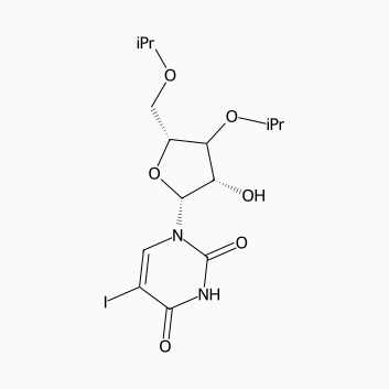 CC(C)OC[C@H]1O[C@@H](n2cc(I)c(=O)[nH]c2=O)[C@@H](O)C1OC(C)C